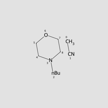 CC#N.CCCCN1CCOCC1